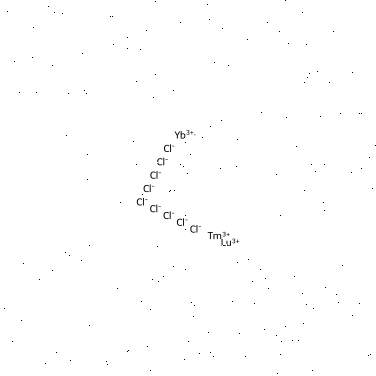 [Cl-].[Cl-].[Cl-].[Cl-].[Cl-].[Cl-].[Cl-].[Cl-].[Cl-].[Lu+3].[Tm+3].[Yb+3]